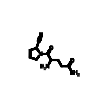 N#CC1C=CCN1C(=O)C(N)CCC(N)=O